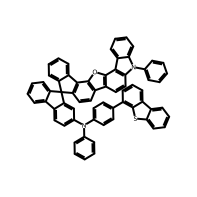 c1ccc(N(c2ccc(-c3cccc4c3sc3ccccc34)cc2)c2ccc3c(c2)C2(c4ccccc4-3)c3ccccc3-c3c2ccc2c3oc3c2ccc2c3c3ccccc3n2-c2ccccc2)cc1